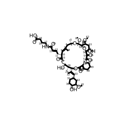 CO[C@H]1C[C@@H](C)C/C(C)=C/[C@@H](C/C=C/C(=O)NCCCC(=O)O)C(=O)C[C@H](O)[C@@H](C)[C@@H](/C(C)=C/[C@@H]2CC[C@@H](O)[C@H](OC)C2)OC(=O)[C@@H]2CCCCN2C(=O)C(=O)[C@]2(O)O[C@H]1[C@@H](OC)C[C@H]2C